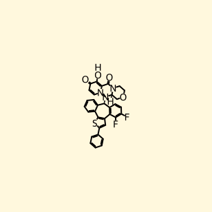 O=C1c2c(O)c(=O)ccn2N([C@@H]2c3ccccc3-c3sc(-c4ccccc4)cc3-c3c2ccc(F)c3F)[C@H]2COCCN12